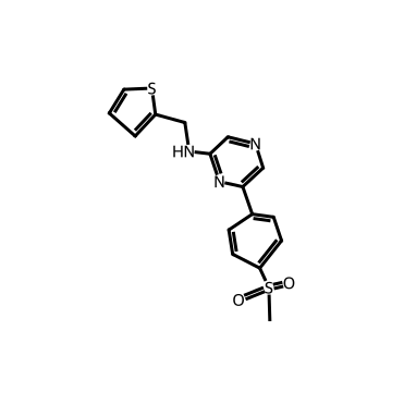 CS(=O)(=O)c1ccc(-c2cncc(NCc3cccs3)n2)cc1